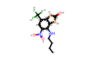 CCCCNc1c([N+](=O)[O-])cc(C(F)(F)F)c2sc(=O)sc12